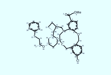 COC(=O)c1ccc2c(c1)N(C[C@@H]1CC[C@H]1[C@H]1C[C@@H](O[C@H](C)CSc3ncccn3)CCO1)CCCCc1cc(Cl)ccc1CO2